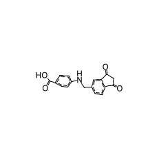 O=C(O)c1ccc(NCc2ccc3c(c2)C(=O)CC3=O)cc1